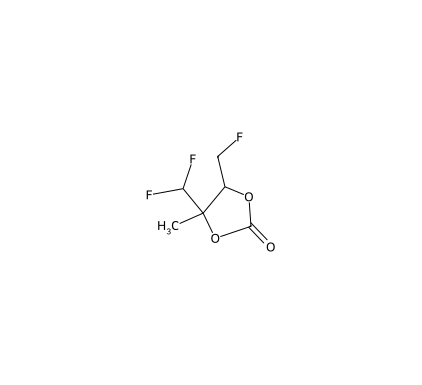 CC1(C(F)F)OC(=O)OC1CF